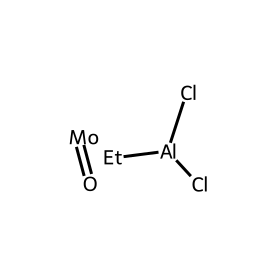 C[CH2][Al]([Cl])[Cl].[O]=[Mo]